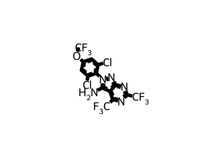 Nc1c2c(C(F)(F)F)nc(C(F)(F)F)nc2nn1-c1c(Cl)cc(OC(F)(F)F)cc1Cl